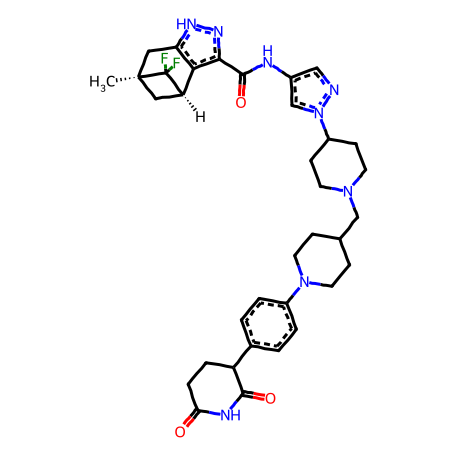 C[C@@]12Cc3[nH]nc(C(=O)Nc4cnn(C5CCN(CC6CCN(c7ccc(C8CCC(=O)NC8=O)cc7)CC6)CC5)c4)c3[C@@H](C1)C2(F)F